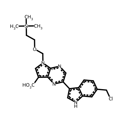 C[Si](C)(C)CCOCn1cc(C(=O)O)c2nc(-c3c[nH]c4cc(CCl)ccc34)cnc21